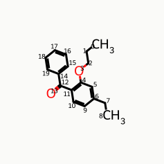 CCCOc1cc(CC)ccc1C(=O)c1ccccc1